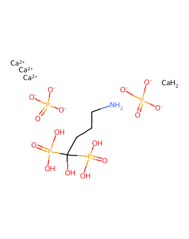 NCCCC(O)(P(=O)(O)O)P(=O)(O)O.O=P([O-])([O-])[O-].O=P([O-])([O-])[O-].[Ca+2].[Ca+2].[Ca+2].[CaH2]